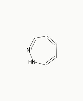 C1=CC=[N+]NC=C1